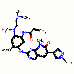 C=CC(=O)Nc1cc(Nc2ncc3cc(-c4cnn(C)c4)c(=O)n(C)c3n2)c(OC)cc1N(C)CCN(C)C